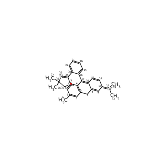 Cc1ccc2c(c1)CC1=CC(=[N+](C)C)C=CC1=C2c1ccccc1C1=NC(C)(C)CO1